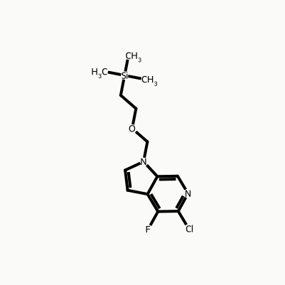 C[Si](C)(C)CCOCn1ccc2c(F)c(Cl)ncc21